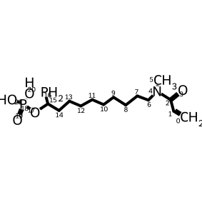 C=CC(=O)N(C)CCCCCCCCCC(P)OP(=O)(O)O